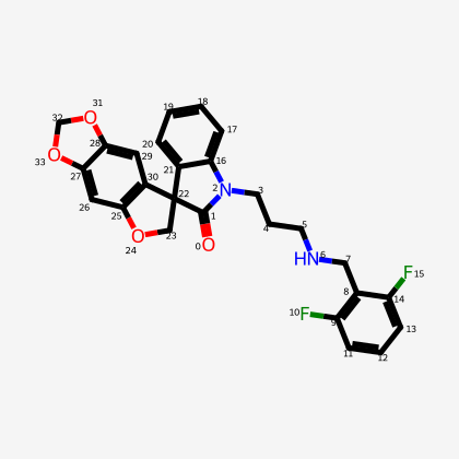 O=C1N(CCCNCc2c(F)cccc2F)c2ccccc2C12COc1cc3c(cc12)OCO3